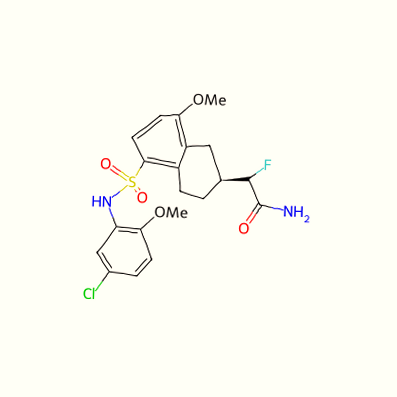 COc1ccc(Cl)cc1NS(=O)(=O)c1ccc(OC)c2c1CC[C@H](C(F)C(N)=O)C2